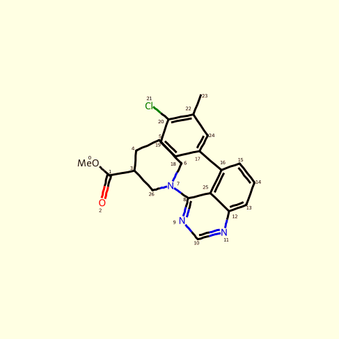 COC(=O)C1CCCN(c2ncnc3cccc(-c4ccc(Cl)c(C)c4)c23)C1